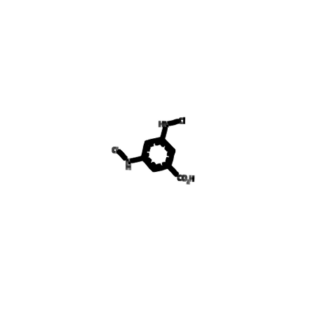 O=C(O)c1cc(NCl)cc(NCl)c1